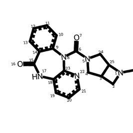 CN1CC2CN(C(=O)N3c4ccccc4C(=O)Nc4cccnc43)CC21